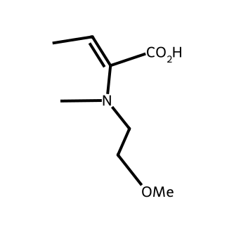 CC=C(C(=O)O)N(C)CCOC